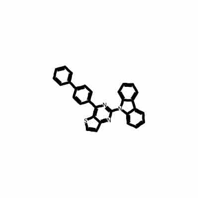 c1ccc(-c2ccc(-c3nc(-n4c5ccccc5c5ccccc54)nc4ccsc34)cc2)cc1